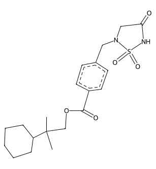 CC(C)(COC(=O)c1ccc(CN2CC(=O)NS2(=O)=O)cc1)C1CCCCC1